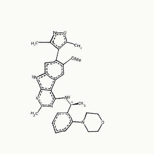 COc1cc2c(cc1-c1c(C)noc1C)[nH]c1nc(C)nc(N[C@@H](C)c3ccccc3N3CCOCC3)c12